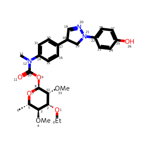 CCO[C@@H]1[C@@H](OC)[C@H](C)O[C@@H](OC(=O)N(C)c2ccc(C3C=NN(c4ccc(O)cc4)C3)cc2)[C@@H]1OC